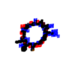 CCCCCC[C@H]1NC(=O)CC[C@@H](C(N)=O)NC(=O)[C@H]([C@@H](C)O)NC(=O)CNC(=O)[C@H](CC(C)C)NC(=O)[C@H](Cc2c[nH]cn2)NC(=O)[C@H](CCCNC(=N)N)NC(=O)[C@@H]2CCCN2C(=O)[C@H](CO)NC(=O)[C@H](CCSC)NC(=O)[C@H](Cc2c[nH]c3ccccc23)NC1=O